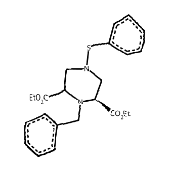 CCOC(=O)C1CN(Sc2ccccc2)C[C@@H](C(=O)OCC)N1Cc1ccccc1